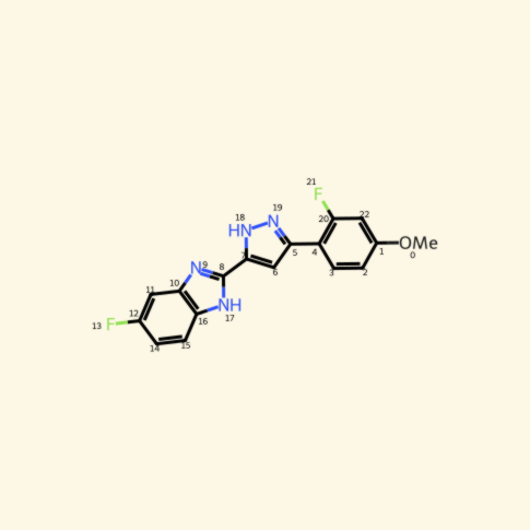 COc1ccc(-c2cc(-c3nc4cc(F)ccc4[nH]3)[nH]n2)c(F)c1